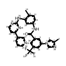 Cc1cn(-c2cc(C(=O)Nc3ccc(C)c(Nc4nccc(-c5cccnc5)n4)c3)cc(C(F)(F)F)c2)cn1